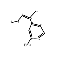 CC/C=C(/C)c1cccc(Br)c1